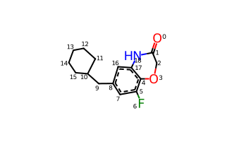 O=C1COc2c(F)cc(CC3CCCCC3)cc2N1